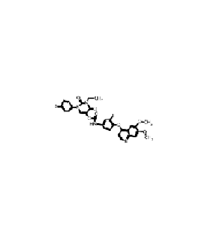 CCn1c(=O)c(OC(=O)Nc2ccc(Oc3ccnc4cc(OC)c(OC)cc34)c(F)c2)cn(-c2ccc(F)cc2)c1=O